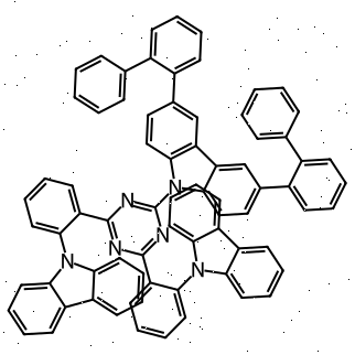 c1ccc(-c2ccccc2-c2ccc3c(c2)c2cc(-c4ccccc4-c4ccccc4)ccc2n3-c2nc(-c3ccccc3-n3c4ccccc4c4ccccc43)nc(-c3ccccc3-n3c4ccccc4c4ccccc43)n2)cc1